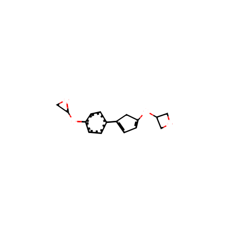 C1=C(OC2COC2)CC(c2ccc(OC3CO3)cc2)=C1